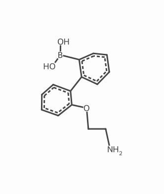 NCCOc1ccccc1-c1ccccc1B(O)O